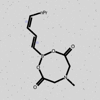 CCC/C=C\C=C\B1OC(=O)CN(C)CC(=O)O1